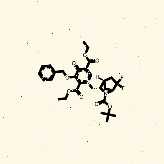 CCOC(=O)c1cn(C[C@@H]2[C@H]3CC(N2C(=O)OC(C)(C)C)C(F)(F)C3)c(C(=O)OCC)c(OCc2ccccc2)c1=O